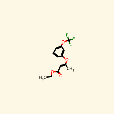 CCOC(=O)C=C(C)Oc1cccc(OC(F)(F)F)c1